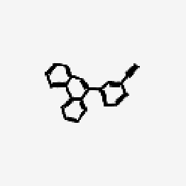 C#Cc1cccc(-c2cc3ccccc3c3ccccc23)c1